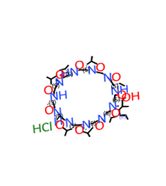 C/C=C/CC(C)C(O)[C@H]1C(=O)N[C@@H](CC)C(=O)N(C)CC(=O)N(C)[C@@H](CC(C)C)C(=O)N[C@@H](C(C)C)C(=O)N(C)[C@@H](CC(C)C)C(=O)N[C@@H](C)C(=O)N[C@H](C)C(=O)N(C)[C@@H](CC(C)C)C(=O)N(C)[C@@H](CC(C)C)C(=O)N(C)[C@@H](C(C)C)C(=O)N1C.Cl